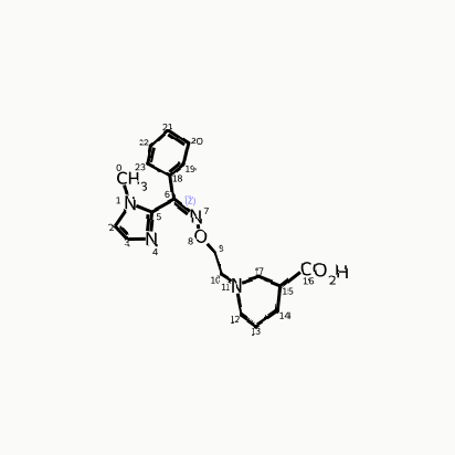 Cn1ccnc1/C(=N\OCCN1CCCC(C(=O)O)C1)c1ccccc1